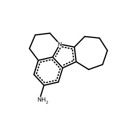 Nc1cc2c3c(c1)c1c(n3CCC2)CCCCC1